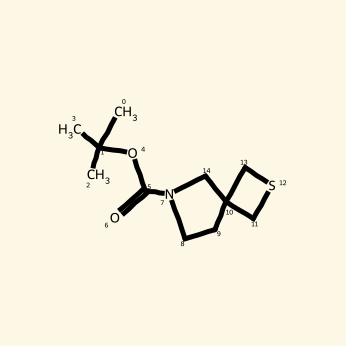 CC(C)(C)OC(=O)N1CCC2(CSC2)C1